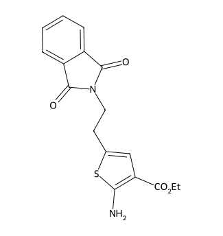 CCOC(=O)c1cc(CCN2C(=O)c3ccccc3C2=O)sc1N